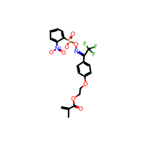 C=C(C)C(=O)OCCOc1ccc(C(=NOS(=O)(=O)c2ccccc2[N+](=O)[O-])C(F)(F)F)cc1